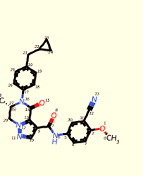 COc1ccc(NC(=O)c2cnn3c2C(=O)N(c2ccc(CC4CC4)cc2)[C@@H](C)C3)cc1C#N